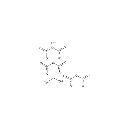 CCO.O=[PH]([O-])O[PH](=O)[O-].O=[PH]([O-])O[PH](=O)[O-].O=[PH]([O-])O[PH](=O)[O-].[U+6]